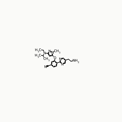 CCN(c1cc(Oc2cc(C#N)ccc2-c2ncc(CCN)cn2)n(C)n1)C(C)C